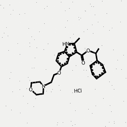 Cc1[nH]c2ccc(OCCN3CCOCC3)cc2c1C(=O)OC(C)c1ccccc1.Cl